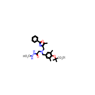 CCOC(=O)C(C)(C)Oc1c(C)cc(CN(CC(=O)NNC(=O)O)Cc2nc(-c3ccccc3)oc2C)cc1C